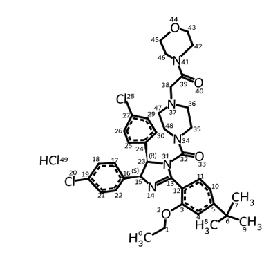 CCOc1cc(C(C)(C)C)ccc1C1=N[C@@H](c2ccc(Cl)cc2)[C@@H](c2ccc(Cl)cc2)N1C(=O)N1CCN(CC(=O)N2CCOCC2)CC1.Cl